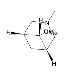 CO[C@H]1[C@@H]2C[C@H]1CN(C)C2